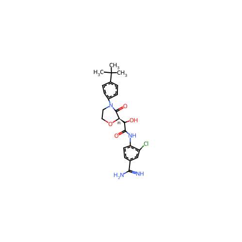 CC(C)(C)c1ccc(N2CCO[C@H](C(O)C(=O)Nc3ccc(C(=N)N)cc3Cl)C2=O)cc1